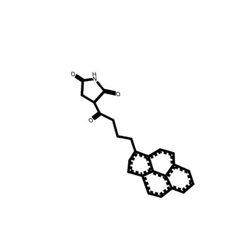 O=C1CC(C(=O)CCCc2ccc3ccc4cccc5ccc2c3c45)C(=O)N1